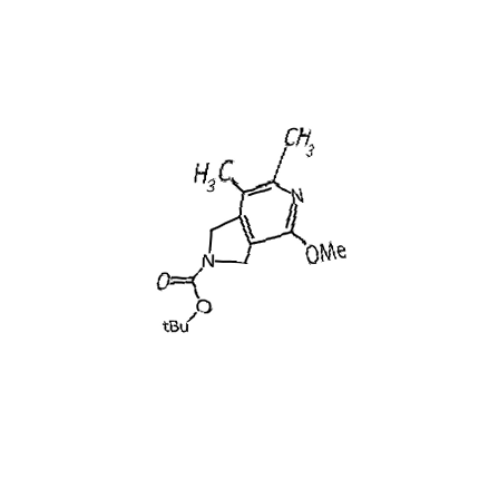 COc1nc(C)c(C)c2c1CN(C(=O)OC(C)(C)C)C2